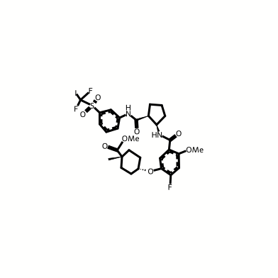 COc1cc(F)c(O[C@H]2CC[C@@](C)(C(=O)OC)CC2)cc1C(=O)N[C@@H]1CCC[C@@H]1C(=O)Nc1cccc(S(=O)(=O)C(F)(F)I)c1